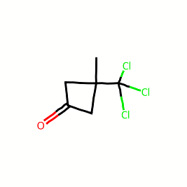 CC1(C(Cl)(Cl)Cl)CC(=O)C1